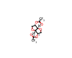 O=C(O[C@H]1CO[C@H]2[C@@H]1OC[C@H]2OC(=O)C(F)(F)F)C(F)(F)F